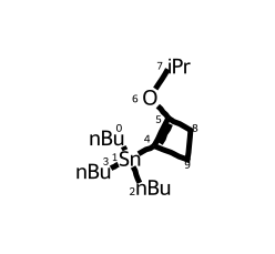 CCC[CH2][Sn]([CH2]CCC)([CH2]CCC)[C]1=C(OC(C)C)CC1